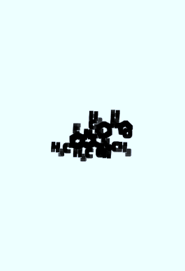 Cc1cc(F)c2nc(N3CC[C@H](N[C@H]4CCOC4)C[C@H]3C)c(-c3nc(C)no3)c(C)c2c1